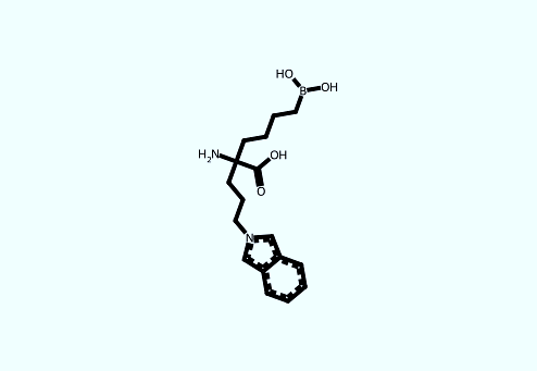 NC(CCCCB(O)O)(CCCn1cc2ccccc2c1)C(=O)O